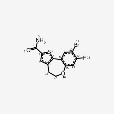 NC(=O)c1cc2c(s1)-c1cc(Br)c(F)cc1OCC2